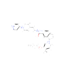 O=C(O)OC1=CN(C2CCc3ccc(C(=O)NCCC4CCN(c5ccncc5)CC4)cc32)CC=C1C(F)(F)F